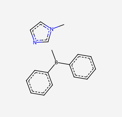 CB(c1ccccc1)c1ccccc1.Cn1ccnc1